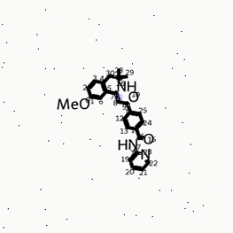 COc1ccc2c(c1)/C(=C/C(=O)c1ccc(C(=O)Nc3ccccn3)cc1)NC(C)(C)C2